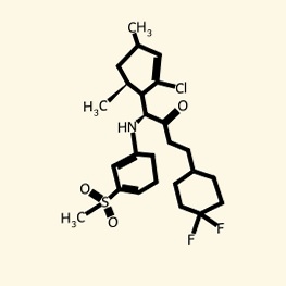 CC1C=C(Cl)C([C@H](NC2=CC(S(C)(=O)=O)=CCC2)C(=O)CCC2CCC(F)(F)CC2)[C@@H](C)C1